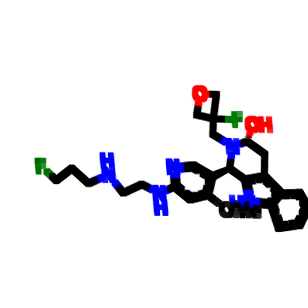 COc1cc(NCCNCCCF)ncc1[C@@H]1c2[nH]c3ccccc3c2C[C@@H](O)N1CC1(F)COC1